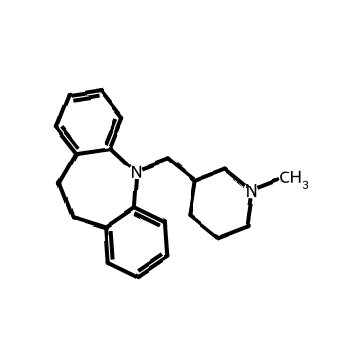 CN1CCCC(CN2c3ccccc3CCc3ccccc32)C1